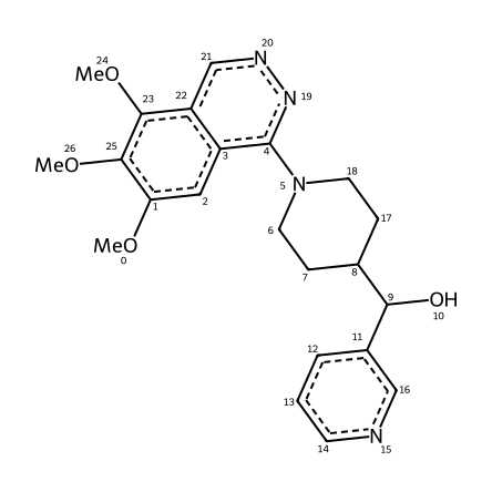 COc1cc2c(N3CCC(C(O)c4cccnc4)CC3)nncc2c(OC)c1OC